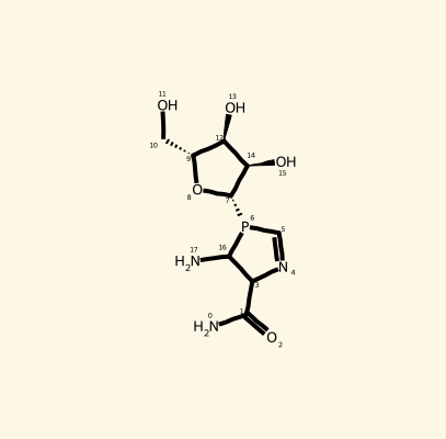 NC(=O)C1N=CP([C@@H]2O[C@H](CO)[C@@H](O)[C@H]2O)C1N